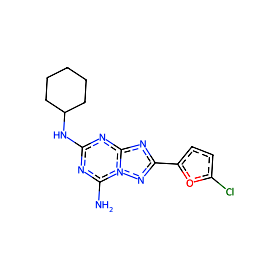 Nc1nc(NC2CCCCC2)nc2nc(-c3ccc(Cl)o3)nn12